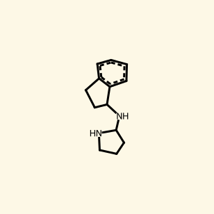 c1ccc2c(c1)CCC2NC1CCCN1